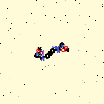 CC(C)(C)OC(=O)N1CCC[C@H]1c1cnc(-c2ccc3c(c2)C2CCC3c3cc(-c4ncc([C@@H]5CCCN5C(=O)OC(C)(C)C)[nH]4)ccc32)[nH]1